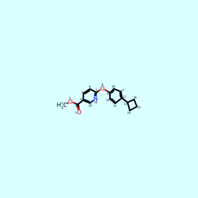 COC(=O)c1ccc(Oc2ccc(C3CCC3)cc2)nc1